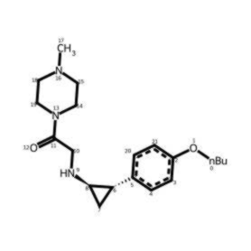 CCCCOc1ccc([C@@H]2C[C@H]2NCC(=O)N2CCN(C)CC2)cc1